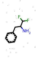 NC(Cc1ccccc1)C(F)F